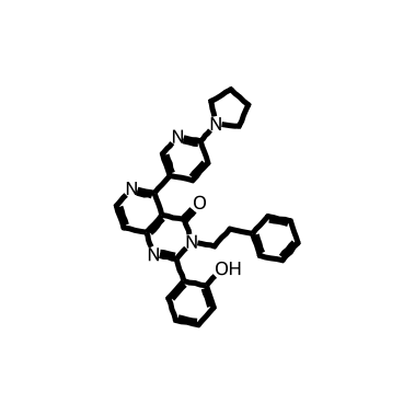 O=c1c2c(-c3ccc(N4CCCC4)nc3)nccc2nc(-c2ccccc2O)n1CCc1ccccc1